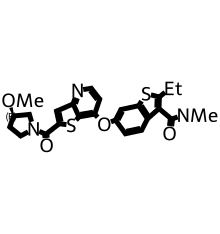 CCc1sc2cc(Oc3ccnc4cc(C(=O)N5CC[C@@H](OC)C5)sc34)ccc2c1C(=O)NC